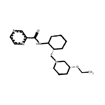 CCO[C@@H]1CCCN(C[C@H]2CCCCC2NC(=O)c2cnccn2)C1